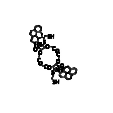 O=C(NC1CC=C2C=Cc3cccc4c3C2C1C=C4)C1OCCOCCOC(CSCCS)[C@H](C(=O)Nc2ccc3ccc4cccc5ccc2c3c45)OCCOCCOC1CSCCS